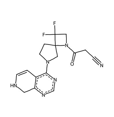 N#CCC(=O)N1CC(F)(F)C12CCN(c1ncnc3c1C=CNC3)C2